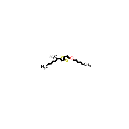 CC[CH]CCC(C)c1cc2sc(OCCCCCC)cc2s1